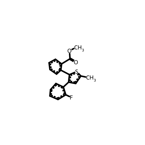 COC(=O)c1ccccc1-c1sc(C)cc1-c1ccccc1F